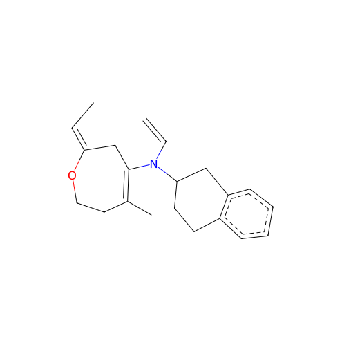 C=CN(C1=C(C)CCO/C(=C/C)C1)C1CCc2ccccc2C1